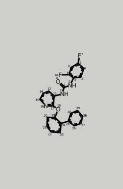 O=C(Nc1ccc(F)cc1F)Nc1cccnc1Oc1ccccc1-c1ccccc1